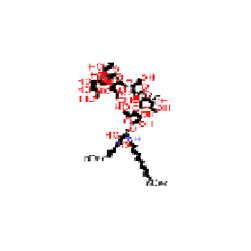 CCCCCCCCCCCCC/C=C/[C@@H](O)[C@H](CO[C@@H]1OC(CO)[C@@H](O[C@@H]2OC(CO)[C@H](O)[C@H](O[C@@H]3OC(CO)[C@@H](O[C@@H]4OC(CO)[C@H](O)[C@H](O[C@H]5OC(CO)[C@H](O)[C@H](O)C5NC(C)=O)C4O[C@H]4OC(C)[C@@H](O)C(O)[C@@H]4O)[C@H](O)C3NC(C)=O)C2O)[C@H](O)C1O)NC(=O)CCCCCCCCCCCCCCCCCCC